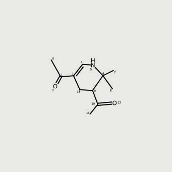 CC(=O)C1=CNC(C)(C)C(C(C)=O)C1